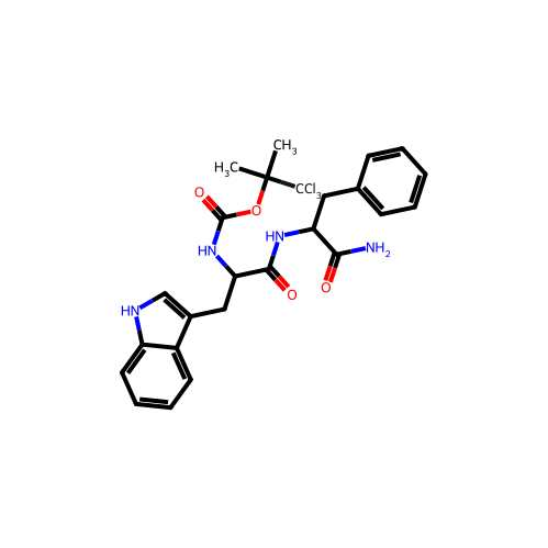 CC(C)(OC(=O)NC(Cc1c[nH]c2ccccc12)C(=O)NC(Cc1ccccc1)C(N)=O)C(Cl)(Cl)Cl